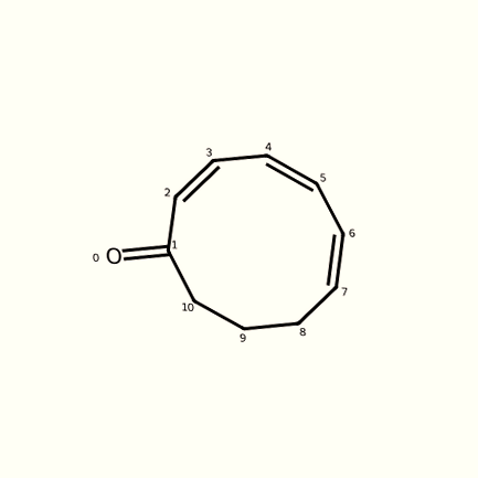 O=C1C=CC=CC=CCCC1